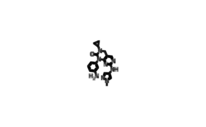 Cn1cc(Nc2ncc3c(n2)N(c2cccc(N)c2)C(=O)N(C2CC2)C3)cn1